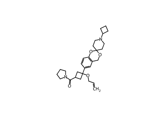 C=CCOC1(c2ccc3c(c2)COC2(CCN(C4CCC4)CC2)O3)CC(C(=O)N2CCCC2)C1